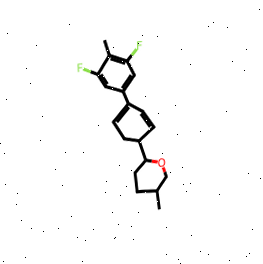 Cc1c(F)cc(C2=CCC(C3CCC(C)CO3)C=C2)cc1F